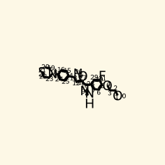 COCCOc1cc2[nH]nc(-c3cc(-c4ccc(N5CCSCC5)cc4)no3)c2cc1F